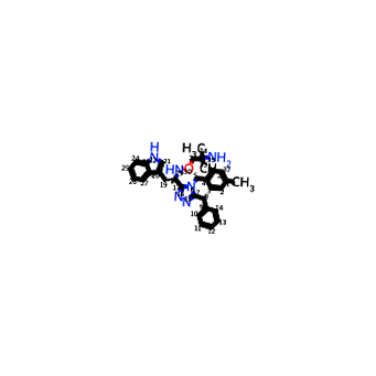 Cc1ccc(Cn2c(Cc3ccccc3)nnc2[C@@H](Cc2c[nH]c3ccccc23)NOCC(C)(C)N)cc1